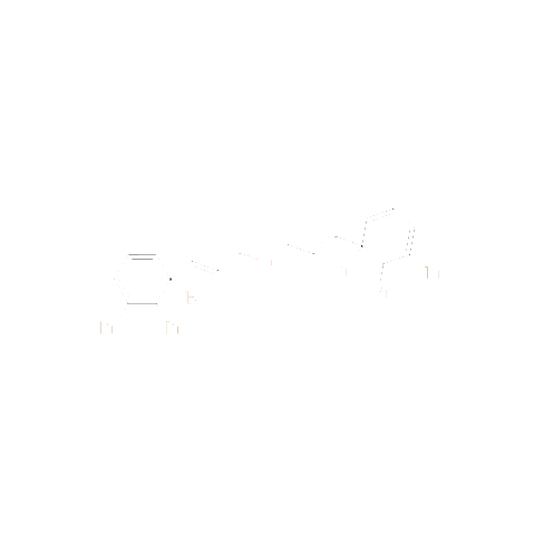 BrC1=CC=CC(Br)(C=CCOCC=CC2(Br)C=CC=C(Br)C2Br)C1Br